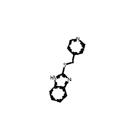 c1ccc2[nH]c(SCc3ccncc3)nc2c1